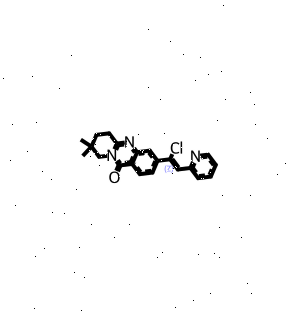 CC1(C)CCc2nc3cc(/C(Cl)=C/c4ccccn4)ccc3c(=O)n2C1